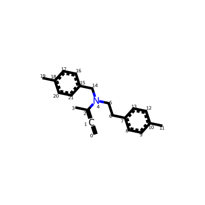 C=C=C(C)N(CCc1ccc(C)cc1)Cc1ccc(C)cc1